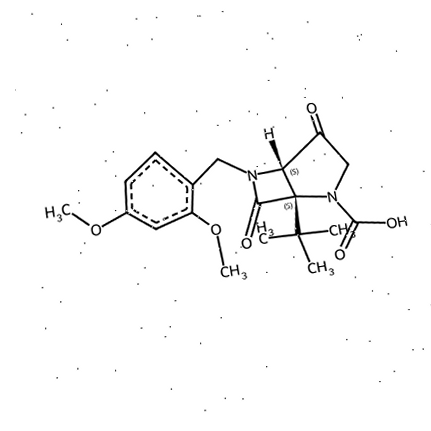 COc1ccc(CN2C(=O)[C@]3(C(C)(C)C)[C@H]2C(=O)CN3C(=O)O)c(OC)c1